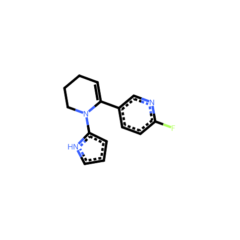 Fc1ccc(C2=CCCCN2c2ccc[nH]2)cn1